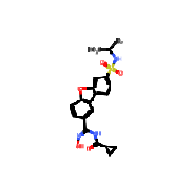 CCC(C)C(NS(=O)(=O)c1ccc2c(c1)oc1ccc(C(=NO)NC(=O)C3CC3)cc12)C(=O)O